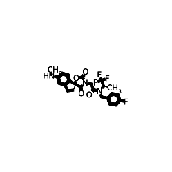 CNc1ccc2c(c1)CC[C@@]21OC(=O)N(CC(=O)N(Cc2ccc(F)cc2)[C@@H](C)C(F)(F)F)C1=O